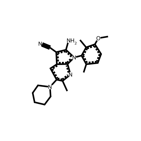 COc1ccc(C)c(-n2c(N)c(C#N)c3cc(N4CCCCC4)c(C)nc32)c1C